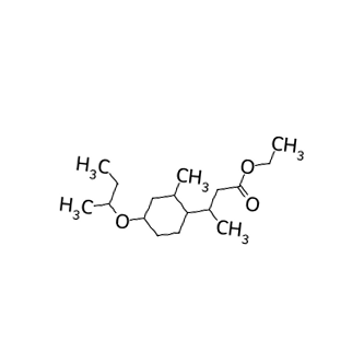 CCOC(=O)CC(C)C1CCC(OC(C)CC)CC1C